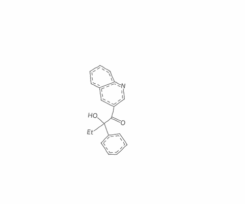 CCC(O)(C(=O)c1cnc2ccccc2c1)c1ccccc1